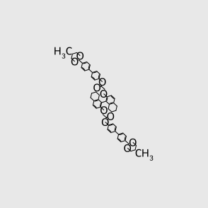 CC1COC(c2ccc(-c3ccc(OC(=O)COc4ccc5c(c4-c4c(OCC(=O)Oc6ccc(-c7ccc(C8OCC(C)CO8)cc7)cc6)ccc6c4CCCC6)CCCC5)cc3)cc2)OC1